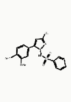 COc1ccc(-c2cc(C(F)(F)F)nn2NS(=O)(=O)c2ccccc2)cc1OC